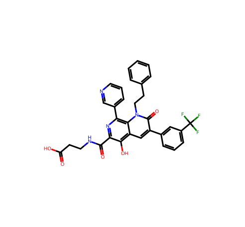 O=C(O)CCNC(=O)c1nc(-c2cccnc2)c2c(cc(-c3cccc(C(F)(F)F)c3)c(=O)n2CCc2ccccc2)c1O